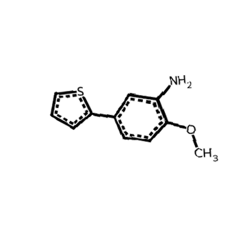 COc1ccc(-c2cccs2)cc1N